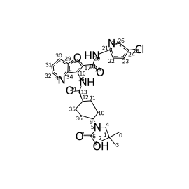 CC(C)(C)CN(C(=O)O)[C@H]1CC[C@H](C(=O)Nc2c(C(=O)Nc3ccc(Cl)cn3)oc3cccnc23)CC1